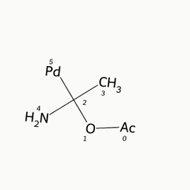 CC(=O)O[C](C)(N)[Pd]